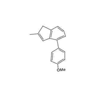 COc1ccc(-c2cccc3c2C=C(C)C3)cc1